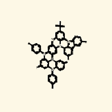 Cc1ccc(N2c3ccc(C)cc3B3c4cc5c(cc4N(c4ccc(C)cc4)c4cc(I)cc2c43)Oc2cc(C(C)(C)C)cc3c2B5c2cc(C)cc4c5cc(C)ccc5n-3c24)cc1